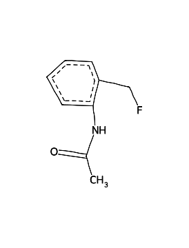 CC(=O)Nc1ccccc1CF